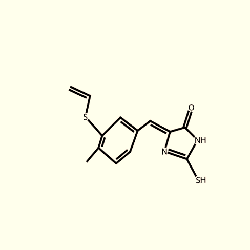 C=CSc1cc(/C=C2\N=C(S)NC2=O)ccc1C